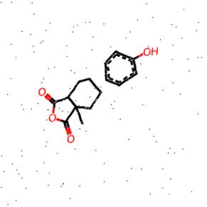 CC12CCCCC1C(=O)OC2=O.Oc1ccccc1